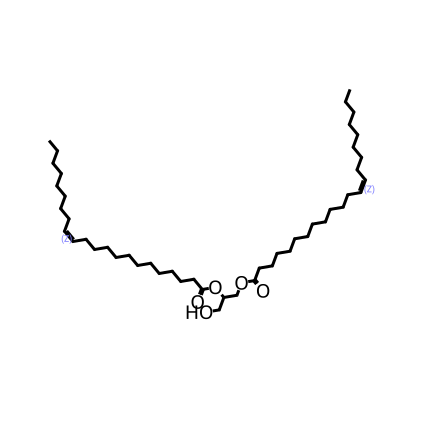 CCCCCCCC/C=C\CCCCCCCCCCCC(=O)OCC(CO)OC(=O)CCCCCCCCCCC/C=C\CCCCCCCC